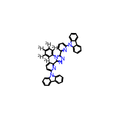 [2H]c1c([2H])c([2H])c(-n2c(-c3cccc(-n4c5ccccc5c5ccccc54)n3)nnc2-c2cccc(-n3c4ccccc4c4ccccc43)n2)c([2H])c1[2H]